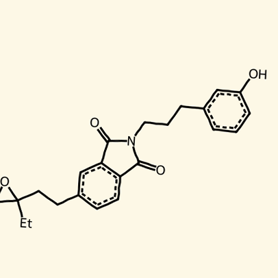 CCC1(CCc2ccc3c(c2)C(=O)N(CCCc2cccc(O)c2)C3=O)CO1